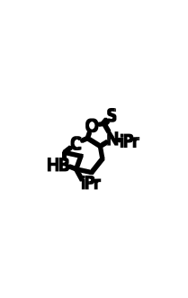 CC(C)N1C(=S)OC2CC3BC(C(C)C)(CCC21)C3